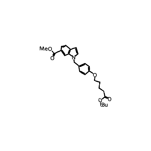 COC(=O)c1ccc2ccn(Cc3ccc(OCCCCC(=O)OC(C)(C)C)cc3)c2c1